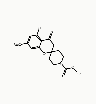 COc1cc(Cl)c2c(c1)OC1(CCN(C(=O)OC(C)(C)C)CC1)CC2=O